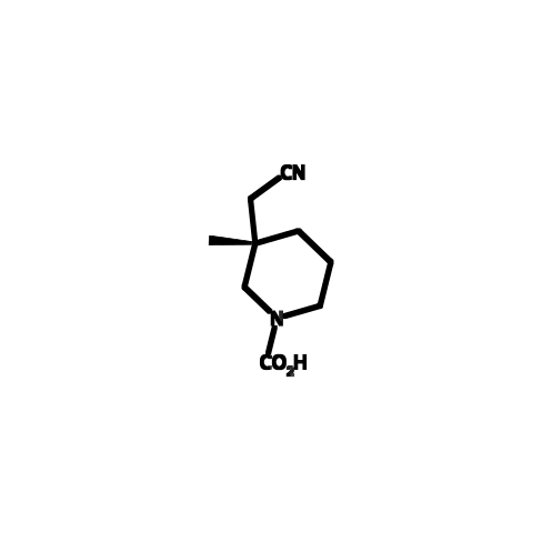 C[C@@]1(CC#N)CCCN(C(=O)O)C1